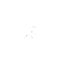 CC=COC(=O)C1(S(=O)(=O)C(C)(C)C)C=CC=CC1C[C@H](NC(C)(C)C)C(=O)O